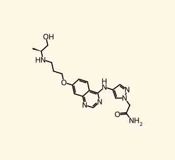 C[C@@H](CO)NCCCOc1ccc2c(Nc3cnn(CC(N)=O)c3)ncnc2c1